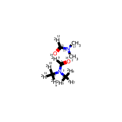 [2H]C(=O)N(C([2H])([2H])[2H])C([2H])([2H])[2H].[2H]C(=O)N(C)C